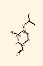 CC(C)O[C@H]1CCN(C=O)C[C@H]1F